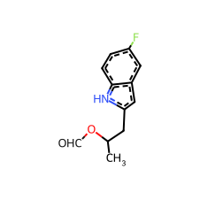 CC(Cc1cc2cc(F)ccc2[nH]1)OC=O